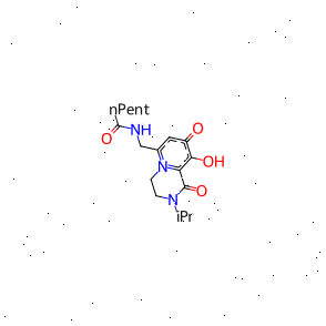 CCCCCC(=O)NCc1cc(=O)c(O)c2n1CCN(C(C)C)C2=O